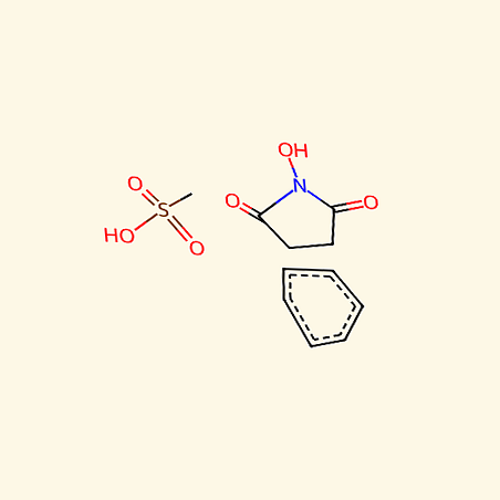 CS(=O)(=O)O.O=C1CCC(=O)N1O.c1ccccc1